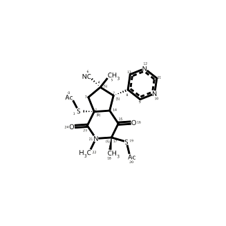 CC(=O)S[C@]12C[C@](C)(C#N)[C@H](c3cncnc3)C1C(=O)[C@](C)(SC(C)=O)N(C)C2=O